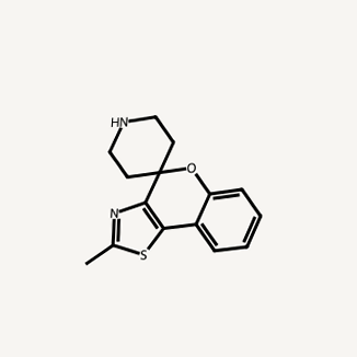 Cc1nc2c(s1)-c1ccccc1OC21CCNCC1